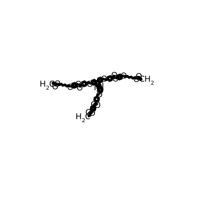 C=CC(=O)OCCCCCCOc1ccc(OC(=O)C2CCC(COc3ccc4c5ccc(OCC6CCC(C(=O)Oc7ccc(OCCCCCCOC(=O)C=C)cc7)CC6)cc5c5nc6cc(OCC7CCC(C(=O)Oc8ccc(OC(=O)C=C)cc8)CC7)ccc6nc5c4c3)CC2)cc1